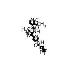 C[C@@H](OC(=O)Nc1c(-c2ccc(NC(=O)[C@H]3C[C@]4(CC4(F)F)C3)cn2)nnn1C)c1cccnc1Cl